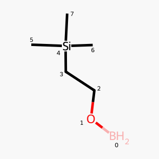 BOCC[Si](C)(C)C